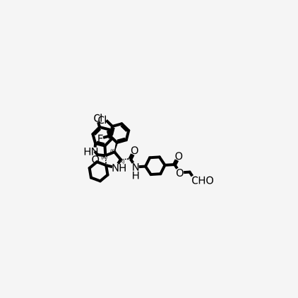 O=CCOC(=O)C1CCC(NC(=O)[C@@H]2NC3(CCCCC3)[C@@]3(C(=O)Nc4cc(Cl)ccc43)[C@H]2c2cccc(Cl)c2F)CC1